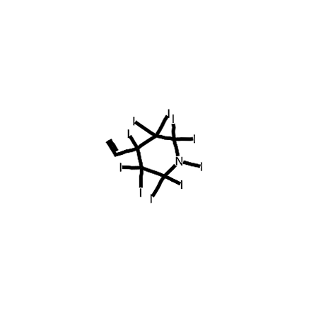 C=CC1(I)C(I)(I)C(I)(I)N(I)C(I)(I)C1(I)I